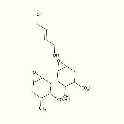 CC1CC2OC2CC1C(=O)O.CC1CC2OC2CC1C(=O)O.OCC=CCO